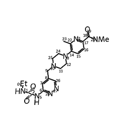 CCNS(=O)(=O)Nc1cc(CN2CCN(c3ccc(C(=O)NC)nc3C)CC2)cnn1